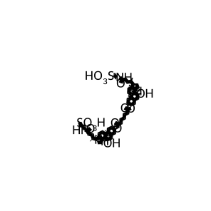 C[C@H](CCC(=O)NCCS(=O)(=O)O)[C@H]1CC[C@H]2[C@H]3C(CC[C@]12C)[C@@]1(C)CC[C@@H](OC(=O)CCCCCC(=O)O[C@@H]2CC[C@@]4(C)C(C2)C[C@H](O)[C@H]2[C@@H]5CC[C@H]([C@H](C)CCC(=O)NCCS(=O)(=O)O)[C@@]5(C)CC[C@@H]24)CC1C[C@@H]3O